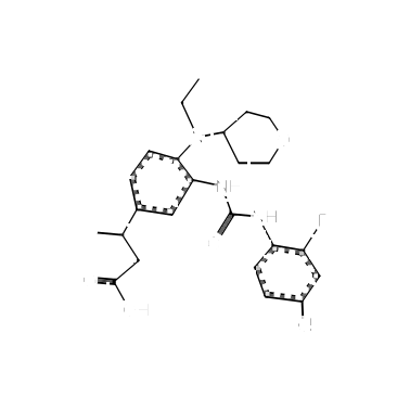 CCN(c1ccc(C(C)CC(=O)O)cc1NC(=O)Nc1ccc(Cl)cc1F)C1CCOCC1